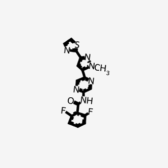 Cn1nc(-c2nccs2)cc1-c1cnc(NC(=O)c2c(F)cccc2F)cn1